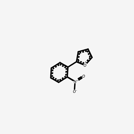 O=[N+]([O-])c1ccc[c]c1-c1ccco1